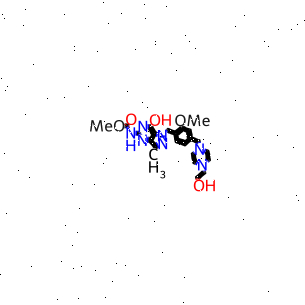 COC(=O)Nc1nc(O)c2c(n1)c(C)nn2Cc1ccc(CN2CCN(CCO)CC2)cc1OC